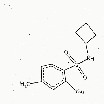 Cc1ccc(S(=O)(=O)NC2CCC2)c(C(C)(C)C)c1